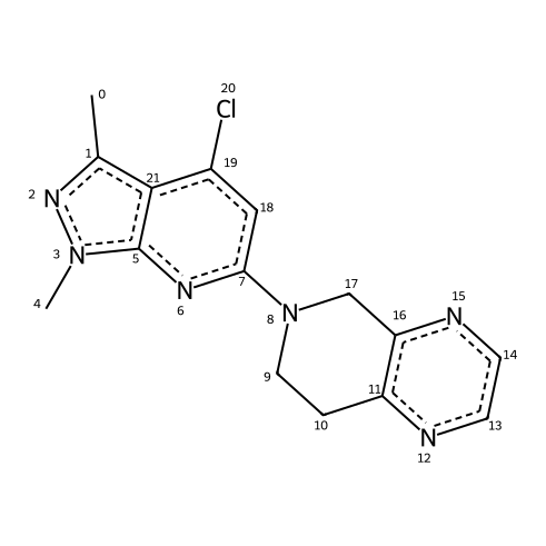 Cc1nn(C)c2nc(N3CCc4nccnc4C3)cc(Cl)c12